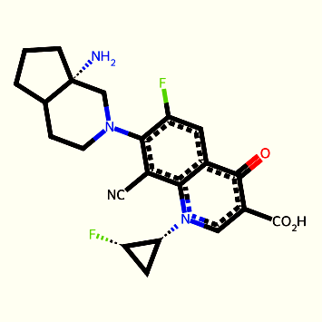 N#Cc1c(N2CCC3CCC[C@@]3(N)C2)c(F)cc2c(=O)c(C(=O)O)cn([C@@H]3C[C@@H]3F)c12